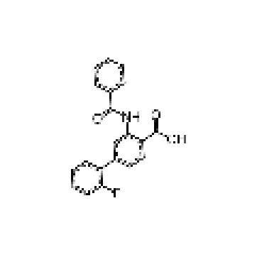 O=C(Nc1cc(-c2ccccc2F)ccc1C(=O)O)c1ccccc1